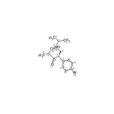 CC(C)NC[C@H](C(=O)C(C)C)c1ccc(Br)cc1